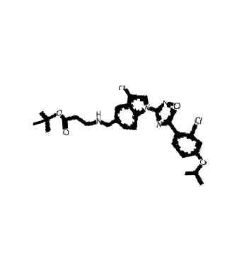 CC(C)Oc1ccc(-c2nc(-n3cc(Cl)c4cc(CNCCC(=O)OC(C)(C)C)ccc43)no2)c(Cl)c1